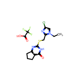 CCn1cc(Cl)nc1CSc1nc2c(c(=O)[nH]1)CCC2.O=C(O)C(F)(F)F